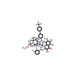 [2H]c1c(C)c([2H])c2c(c1[2H])c(=O)c([2H])c(SCc1cccc(F)c1F)n2C([2H])([2H])C(=O)N(Cc1ccc(-c2ccc(C(F)(F)F)cc2)cc1)C1([2H])C([2H])([2H])C([2H])([2H])N(C([2H])([2H])COC)C([2H])([2H])C1([2H])[2H]